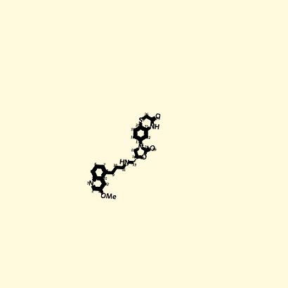 COc1cnc2cccc(CCCNC[C@@H]3CN(c4ccc5c(c4)NC(=O)CS5)C(=O)O3)c2c1